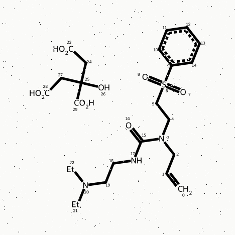 C=CCN(CCS(=O)(=O)c1ccccc1)C(=O)NCCN(CC)CC.O=C(O)CC(O)(CC(=O)O)C(=O)O